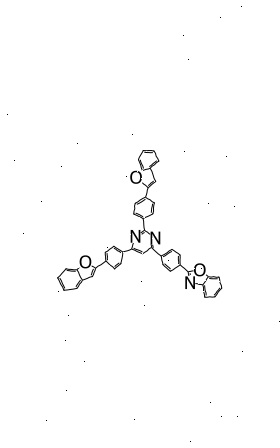 c1ccc2oc(-c3ccc(-c4cc(-c5ccc(-c6nc7ccccc7o6)cc5)nc(-c5ccc(-c6cc7ccccc7o6)cc5)n4)cc3)cc2c1